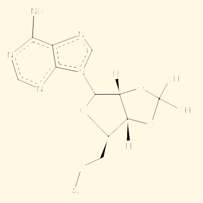 CC(=O)SC[C@H]1OC(n2cnc3c(N)ncnc32)[C@@H]2OC(C)(C)O[C@H]12